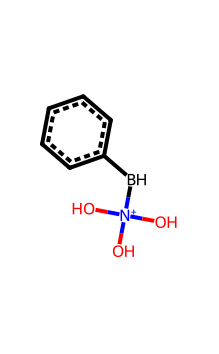 O[N+](O)(O)Bc1ccccc1